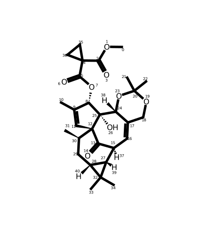 COC(=O)C1(C(=O)O[C@H]2C(C)=C[C@]34C(=O)[C@@H](C=C5COC(C)(C)O[C@H]5[C@]23O)[C@H]2[C@@H](C[C@H]4C)C2(C)C)CC1